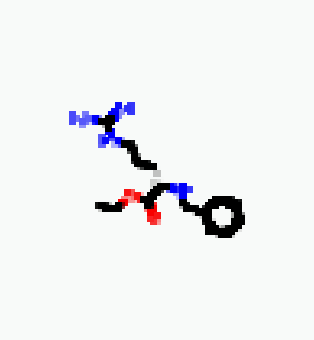 CCOC(=O)[C@H](CCCNC(=N)N)NCc1ccccc1